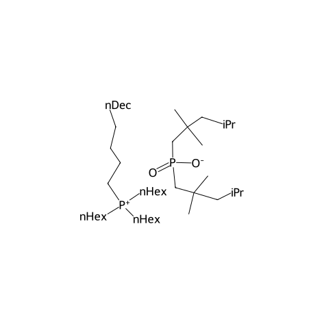 CC(C)CC(C)(C)CP(=O)([O-])CC(C)(C)CC(C)C.CCCCCCCCCCCCCC[P+](CCCCCC)(CCCCCC)CCCCCC